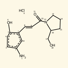 Cl.Nc1ccc(O)c(C=CC(=O)N2CCCC2CO)c1